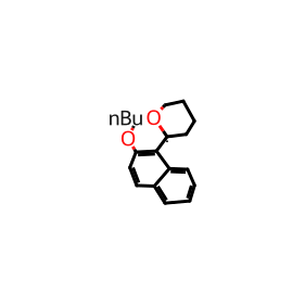 CCCCOc1ccc2ccccc2c1[C]1CCCCO1